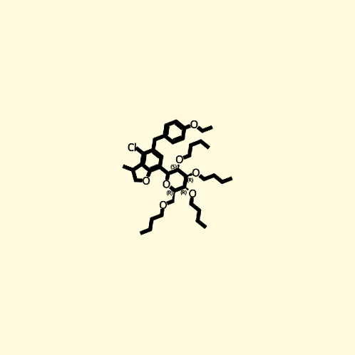 CCCCOC[C@H]1OC(c2cc(Cc3ccc(OCC)cc3)c(Cl)c3c2OCC3C)[C@H](OCCCC)[C@@H](OCCCC)[C@@H]1OCCCC